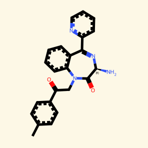 Cc1ccc(C(=O)CN2C(=O)[C@H](N)N=C(c3ccccn3)c3ccccc32)cc1